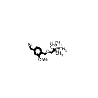 COc1cc(CBr)ccc1COCC(C)(C)[SiH](C)C